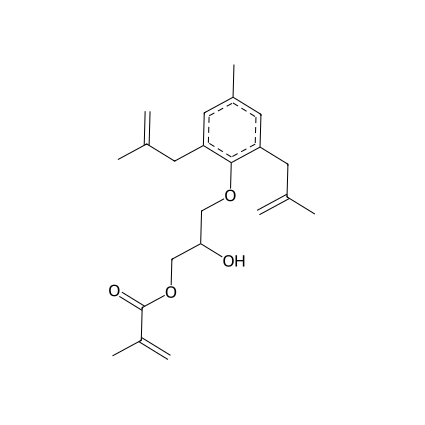 C=C(C)Cc1cc(C)cc(CC(=C)C)c1OCC(O)COC(=O)C(=C)C